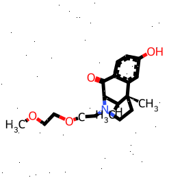 COCCOCCN1CC[C@@]2(C)c3cc(O)ccc3C(=O)C1[C@@H]2C